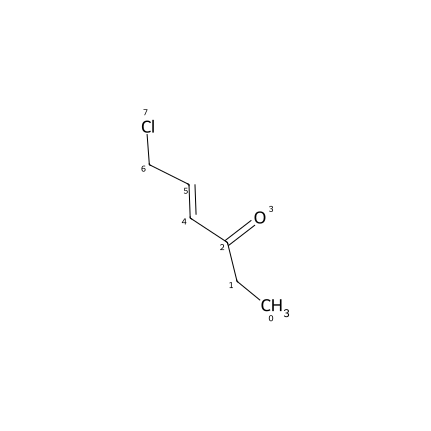 CCC(=O)C=CCCl